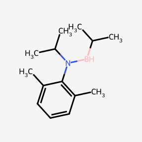 Cc1cccc(C)c1N(BC(C)C)C(C)C